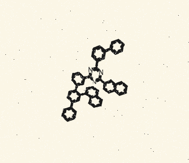 c1ccc(-c2cccc(-c3nc(-c4cccc(-c5ccc(-c6ccccc6)cc5-c5cccc6ccccc56)c4)nc(-c4ccc5ccccc5c4)n3)c2)cc1